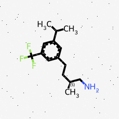 CC(C)c1cc(CC[C@H](C)CN)cc(C(F)(F)F)c1